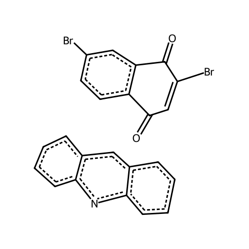 O=C1C=C(Br)C(=O)c2cc(Br)ccc21.c1ccc2nc3ccccc3cc2c1